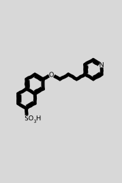 O=S(=O)(O)c1ccc2ccc(OCCCc3ccncc3)cc2c1